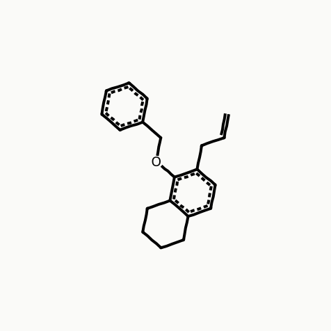 C=CCc1ccc2c(c1OCc1ccccc1)CCCC2